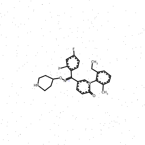 CCc1cccc(C)c1-n1cc(/C(=N/OC2CCNCC2)c2ccc(F)cc2F)ccc1=O